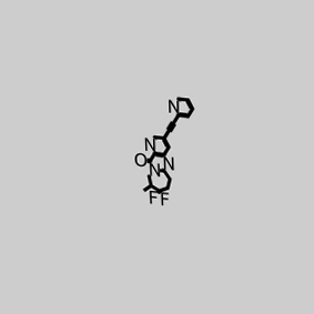 CC1Cn2c(nc3cc(C#Cc4ccccn4)cnc3c2=O)CCC1(F)F